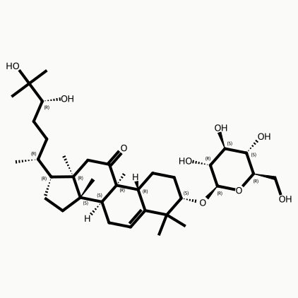 C[C@H](CC[C@@H](O)C(C)(C)O)[C@H]1CC[C@@]2(C)[C@@H]3CC=C4[C@@H](CC[C@H](O[C@@H]5O[C@H](CO)[C@@H](O)[C@H](O)[C@H]5O)C4(C)C)[C@]3(C)C(=O)C[C@]12C